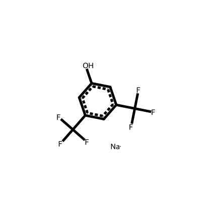 Oc1cc(C(F)(F)F)cc(C(F)(F)F)c1.[Na]